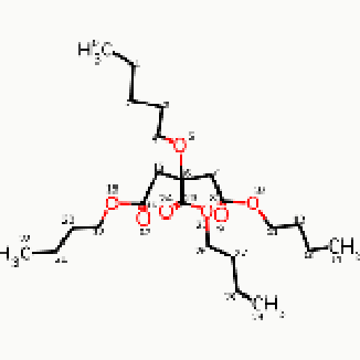 CCCCCOC(CC(=O)OCCCC)(CC(=O)OCCCC)C(=O)OCCCC